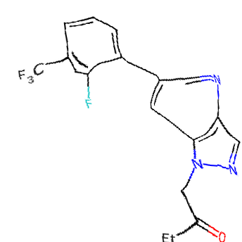 CCC(=O)Cn1ncc2ncc(-c3cccc(C(F)(F)F)c3F)cc21